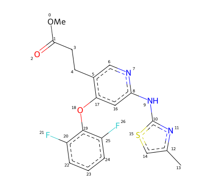 COC(=O)CCc1cnc(Nc2nc(C)cs2)cc1Oc1c(F)cccc1F